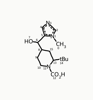 Cn1cncc1C(O)C1CCN(C(=O)O)C(C(C)(C)C)C1